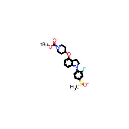 C[S+]([O-])c1ccc(N2CCc3c(OC4CCN(C(=O)OC(C)(C)C)CC4)cccc32)c(F)c1